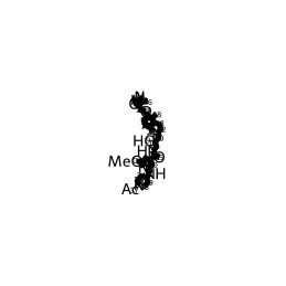 COc1cc(C(=O)NC[C@H](O)CN2CCc3c(ccc(OCc4ocnc4C)c3C)C2)cc(NC2CCN(C(C)=O)CC2)n1